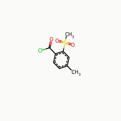 Cc1ccc(C(=O)Cl)c(S(C)(=O)=O)c1